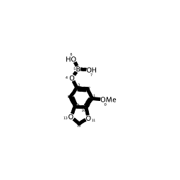 COc1cc(OB(O)O)cc2c1OCO2